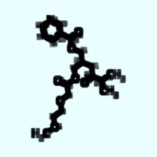 COCCOCC(=O)OCC(COC(=O)c1cccnc1)CC(=O)C(C)C